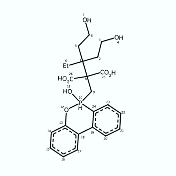 CCC(CCO)(CCO)C(C[PH]1(O)Oc2ccccc2-c2ccccc21)(C(=O)O)C(=O)O